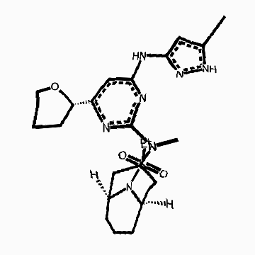 CCS(=O)(=O)N1[C@@H]2CCC[C@H]1CC(N(C)c1nc(Nc3cc(C)[nH]n3)cc([C@@H]3CCCO3)n1)C2